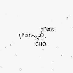 CCCCCON([C]=O)CCCCC